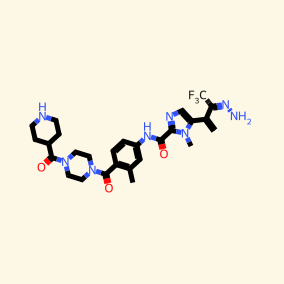 C=C(/C(=N\N)C(F)(F)F)c1cnc(C(=O)Nc2ccc(C(=O)N3CCN(C(=O)C4CCNCC4)CC3)c(C)c2)n1C